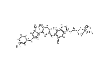 C[Si](C)(C)CCOCn1ccc2c(F)c(Oc3ccc(F)c(-n4nc(Cc5cccc(Br)c5)cc4N)c3)c(F)cc21